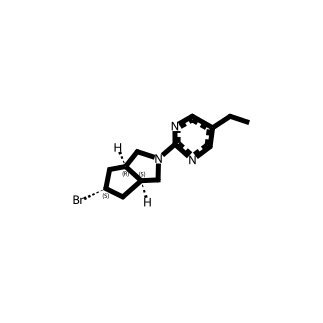 CCc1cnc(N2C[C@H]3C[C@H](Br)C[C@H]3C2)nc1